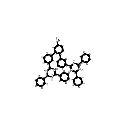 N#Cc1ccc(-c2cccc(-c3nc(-c4ccccc4)nc(-c4ccccc4)n3)c2)c(-c2cccc(C3=NC(c4ccccc4)NC(c4ccccc4)=N3)c2)c1